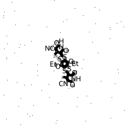 [C-]#[N+]C1=C(C)C(=C2Sc3c(OCC)c4c(c(OCC)c3S2)SC(=C2C(=O)NC(=O)C(C#N)=C2C)S4)C(=O)NC1=O